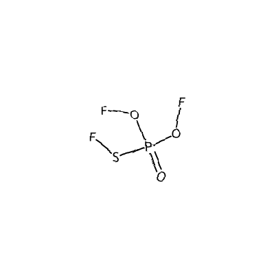 O=P(OF)(OF)SF